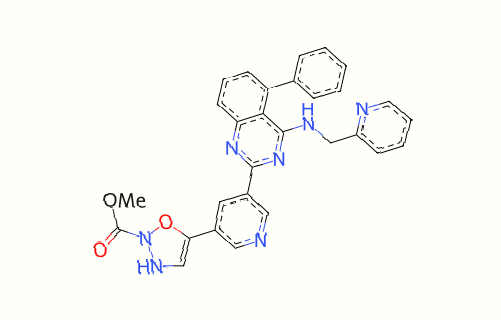 COC(=O)N1NC=C(c2cncc(-c3nc(NCc4ccccn4)c4c(-c5ccccc5)cccc4n3)c2)O1